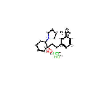 CN[C@H]1CCN(C2CCCCC2(O)CCc2cccc(C(F)(F)F)c2)C1.Cl.Cl